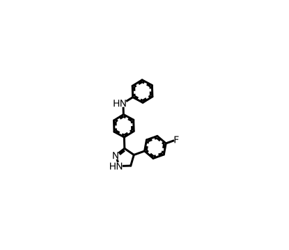 Fc1ccc(C2CNN=C2c2ccc(Nc3ccccc3)cc2)cc1